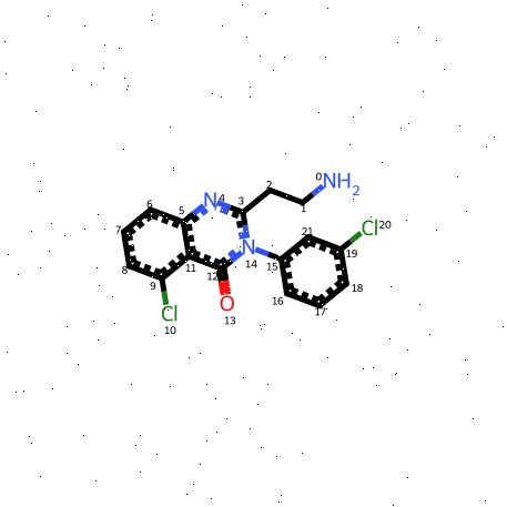 NCCc1nc2cccc(Cl)c2c(=O)n1-c1cccc(Cl)c1